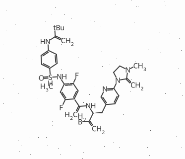 BC(=C)[C@H](Cc1ccc(N2CCN(C)C2=C)nc1)NC(=C)c1cc(F)c(N[SH](C)(=O)c2ccc(NC(=C)C(C)(C)C)cc2)cc1F